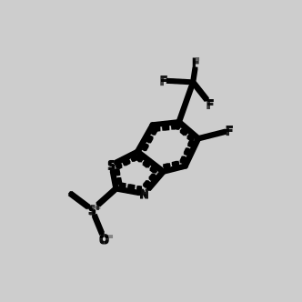 C[S+]([O-])c1nc2cc(F)c(C(F)(F)F)cc2s1